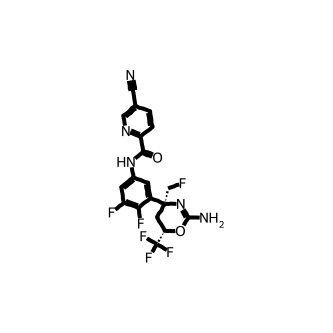 N#Cc1ccc(C(=O)Nc2cc(F)c(F)c([C@]3(CF)C[C@@H](C(F)(F)F)OC(N)=N3)c2)nc1